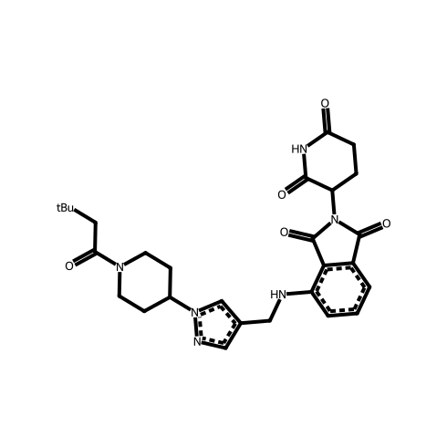 CC(C)(C)CC(=O)N1CCC(n2cc(CNc3cccc4c3C(=O)N(C3CCC(=O)NC3=O)C4=O)cn2)CC1